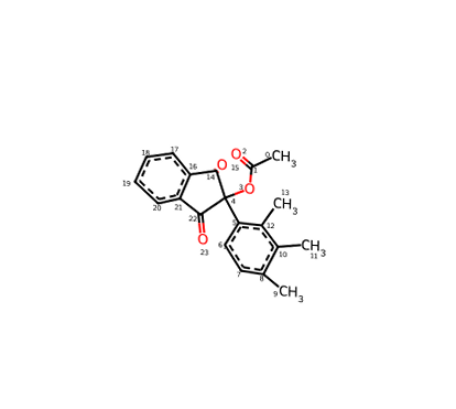 CC(=O)OC1(c2[c]cc(C)c(C)c2C)C(=O)c2ccccc2C1=O